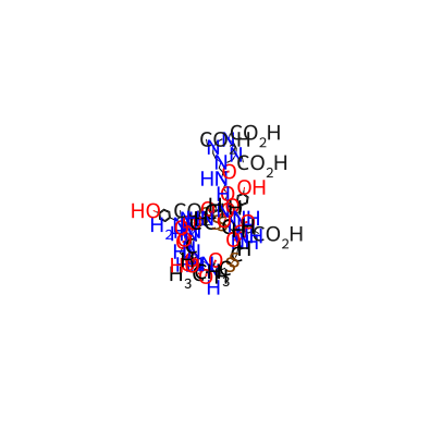 C[C@@H]1NC(=O)[C@@H]2CCCN2C(=O)[C@H](CC(N)=O)NC(=O)[C@@H]2CSSC[C@H](NC(=O)COCCOCCNC(=O)CN3CCN(CC(=O)O)CCN(CC(=O)O)CCN(CC(=O)O)CC3)C(=O)N[C@H]3CSSC[C@H](NC1=O)C(=O)N[C@@H]([C@@H](C)O)C(=O)NCC(=O)N[C@H](C(=O)N[C@@H](Cc1ccc(O)cc1)C(=O)O)CSSC[C@H](NC(=O)[C@H](Cc1ccc(O)cc1)NC(=O)[C@H](CCC(=O)O)NC3=O)C(=O)N2